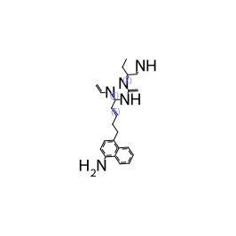 C=C/N=C(\C=C\CCc1ccc(N)c2ccccc12)NC(=C)/N=C(\C=N)CC